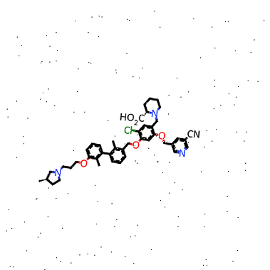 Cc1c(COc2cc(OCc3cncc(C#N)c3)c(CN3CCCC[C@H]3C(=O)O)cc2Cl)cccc1-c1cccc(OCCCN2CC[C@@H](C)C2)c1C